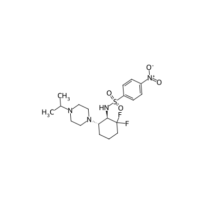 CC(C)N1CCN([C@H]2CCCC(F)(F)[C@@H]2NS(=O)(=O)c2ccc([N+](=O)[O-])cc2)CC1